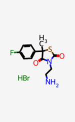 Br.CC1(c2ccc(F)cc2)SC(=O)N(CCN)C1=O